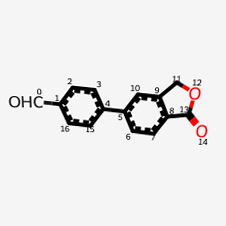 O=Cc1ccc(-c2ccc3c(c2)COC3=O)cc1